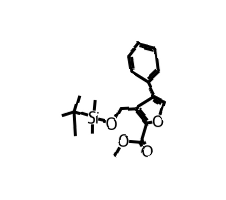 COC(=O)c1occ(-c2ccccc2)c1CO[Si](C)(C)C(C)(C)C